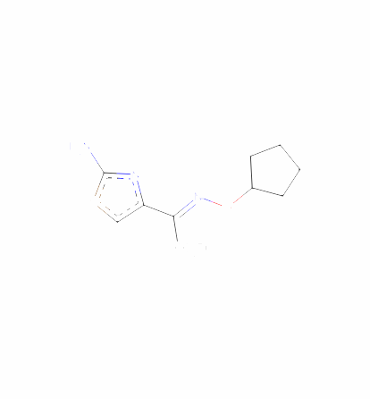 CCOC(=O)/C(=N\OC1CCCC1)c1csc(N)n1